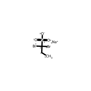 CCC(Br)(Br)S(=O)(=O)[O-].[Na+]